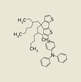 CCCCC(CC)CC1(CC(CC)CCCC)c2ccsc2-c2sc(-c3ccc(N(c4ccccc4)c4ccccc4)cc3)cc21